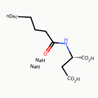 CCCCCCCCCCCCCC(=O)N[C@@H](CC(=O)O)C(=O)O.[NaH].[NaH]